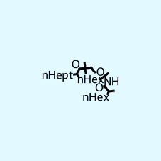 CCCCCCCC(CCCCCC)C(=O)C(C)(C)CCOC(C)(C)NC(=O)C(C)CCCCCC